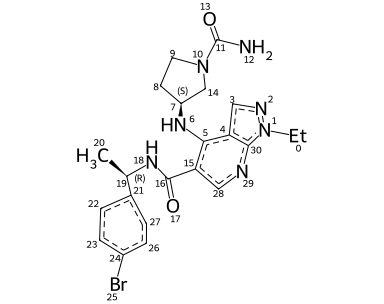 CCn1ncc2c(N[C@H]3CCN(C(N)=O)C3)c(C(=O)N[C@H](C)c3ccc(Br)cc3)cnc21